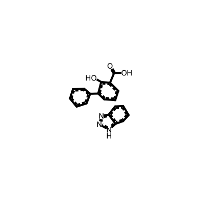 O=C(O)c1cccc(-c2ccccc2)c1O.c1ccc2[nH]nnc2c1